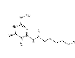 CC(C)[C@@H](NC(=O)OC(C)(C)C)C(=O)NNC(=O)CCCCCN